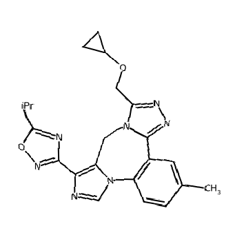 Cc1ccc2c(c1)-c1nnc(COC3CC3)n1Cc1c(-c3noc(C(C)C)n3)ncn1-2